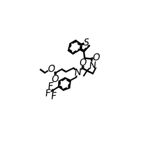 CCOC(=O)CCCN(Cc1ccc(C(F)(F)F)cc1)C(=O)C1(C)CCN1C(=O)Cc1csc2ccccc12